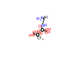 CC(=O)[C@@H](N)CCCCNC(=O)c1cc(B(O)O)cc(S(=O)(=O)c2cc(B(O)O)cc(C(F)(F)F)c2)c1